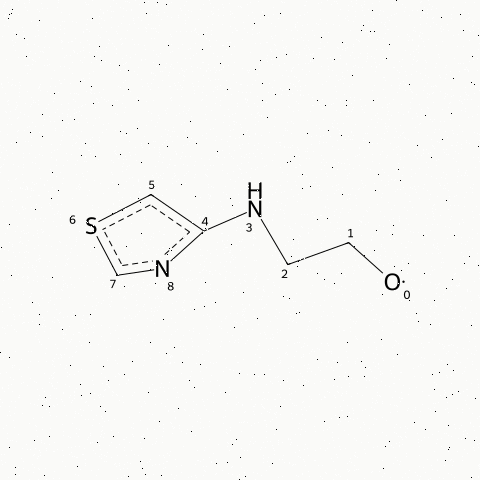 [O]CCNc1cscn1